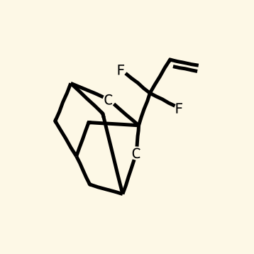 C=CC(F)(F)C12CC3CC(CC(C3)C1)C2